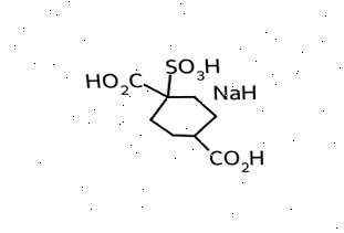 O=C(O)C1CCC(C(=O)O)(S(=O)(=O)O)CC1.[NaH]